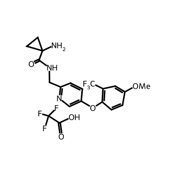 COc1ccc(Oc2ccc(CNC(=O)C3(N)CC3)nc2)c(C(F)(F)F)c1.O=C(O)C(F)(F)F